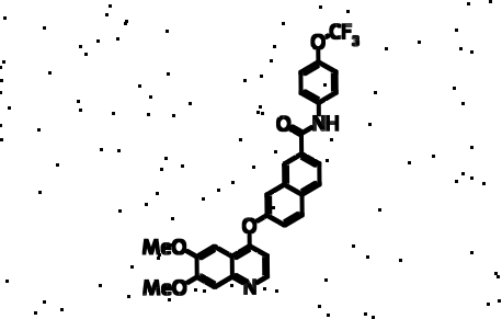 COc1cc2nccc(Oc3ccc4ccc(C(=O)Nc5ccc(OC(F)(F)F)cc5)cc4c3)c2cc1OC